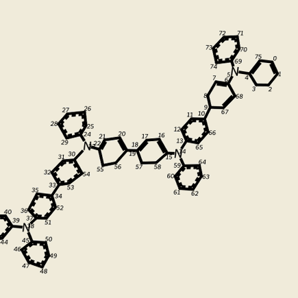 C1=CCCC(N(C2=CCC(c3ccc(N(C4=CC=C(C5=CC=C(N(c6ccccc6)c6ccc(-c7ccc(N(c8ccccc8)c8ccccc8)cc7)cc6)CC5)CC4)c4ccccc4)cc3)C=C2)c2ccccc2)=C1